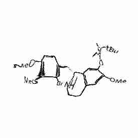 COc1cc2c(cc1O[Si](C)(C)C(C)(C)C)[C@@H](Cc1ccc(OC)c(OC)c1Br)NCC2